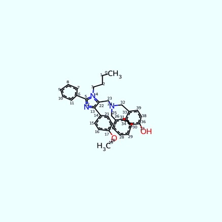 CCCCn1c(-c2ccccc2)nc(-c2ccc(OC)cc2)c1CN(Cc1ccccc1)Cc1ccc(O)cc1